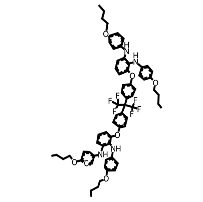 CCCCOc1ccc(Nc2cccc(Oc3ccc(C(c4ccc(Oc5cccc(Nc6ccc(OCCCC)cc6)c5Nc5ccc(OCCCC)cc5)cc4)(C(F)(F)F)C(F)(F)F)cc3)c2Nc2ccc(OCCCC)cc2)cc1